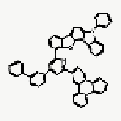 c1ccc(-c2cccc(-c3cc(-c4ccc5c6ccccc6c6ccccc6c5c4)nc(-c4cccc5c4sc4c5ccc5c4c4ccccc4n5-c4ccccc4)c3)c2)cc1